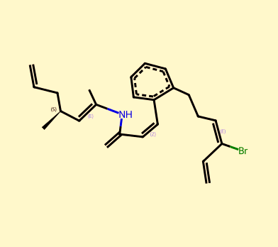 C=CC[C@H](C)/C=C(\C)NC(=C)/C=C\c1ccccc1CC/C=C(/Br)C=C